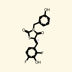 O=C1S/C(=C\c2ccc(F)c(O)c2F)C(=O)N1Cc1cccc(O)c1